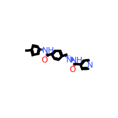 Cc1ccc(NC(=O)c2ccc(/C=N/NC(=O)c3ccncc3)cc2)cc1